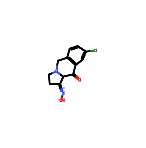 O=C1c2cc(Cl)ccc2CN2CC/C(=N\O)C12